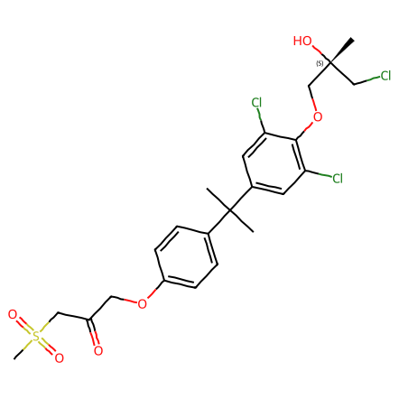 CC(C)(c1ccc(OCC(=O)CS(C)(=O)=O)cc1)c1cc(Cl)c(OC[C@](C)(O)CCl)c(Cl)c1